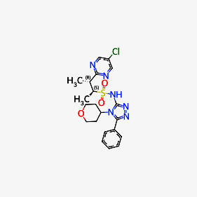 C[C@H](c1ncc(Cl)cn1)[C@H](C)S(=O)(=O)Nc1nnc(-c2ccccc2)n1C1CCOCC1